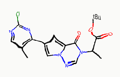 Cc1cnc(Cl)nc1-c1cc2c(=O)n(C(C)C(=O)OC(C)(C)C)cnn2c1